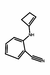 N#Cc1ccccc1NC1=CCC1